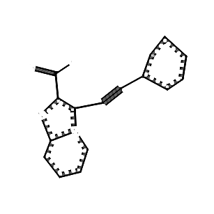 O=C(O)c1nc2ccccn2c1C#Cc1ccccc1